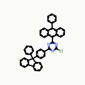 Clc1nc(-c2ccc(C3(c4ccccc4)c4ccccc4-c4ccccc43)cc2)nc(-c2c3ccccc3c(-c3ccccc3)c3ccccc23)n1